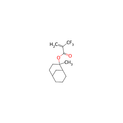 C=C(C(=O)OC1(C)CCC2CCCC1C2)C(F)(F)F